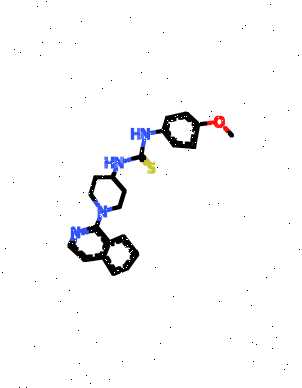 COc1ccc(NC(=S)NC2CCN(c3nccc4ccccc34)CC2)cc1